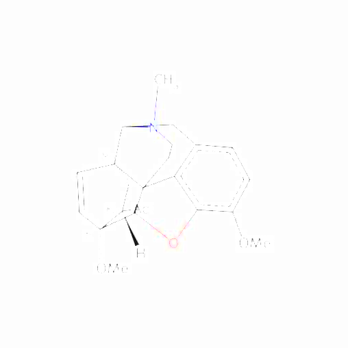 COc1ccc2c3c1OC1C34CCN(C)C(C2)[C@]42C=C[C@@]1(OC)[C@@H](C(C)=O)C2